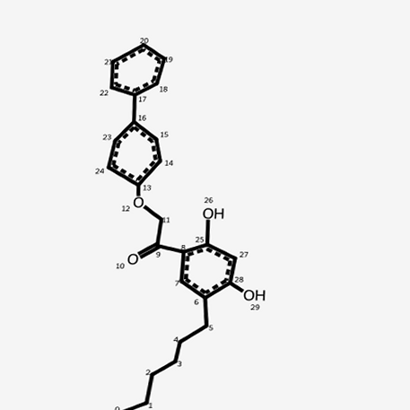 CCCCCCc1cc(C(=O)COc2ccc(-c3ccccc3)cc2)c(O)cc1O